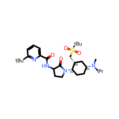 CC(C)N(C)[C@@H]1CC[C@H](N2CCC(NC(=O)c3cccc(C(C)(C)C)n3)C2=O)[C@H](CS(=O)(=O)C(C)(C)C)C1